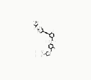 Cc1ccc(C(=O)Nc2ccc(CN3CC[C@H](N(C)C)C3)c(F)c2)cc1C#Cc1cnc(Nc2cn[nH]c2)nc1